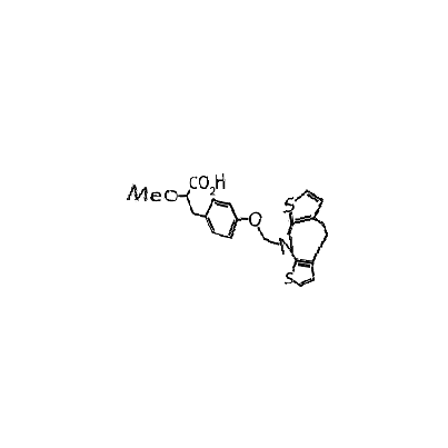 COC(Cc1ccc(OCN2c3sccc3Cc3ccsc32)cc1)C(=O)O